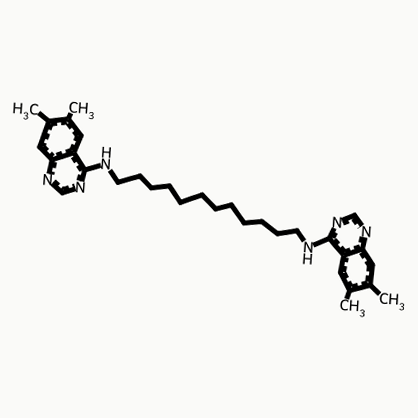 Cc1cc2ncnc(NCCCCCCCCCCCCNc3ncnc4cc(C)c(C)cc34)c2cc1C